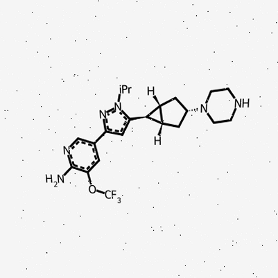 CC(C)n1nc(-c2cnc(N)c(OC(F)(F)F)c2)cc1[C@H]1[C@@H]2C[C@H](N3CCNCC3)C[C@@H]21